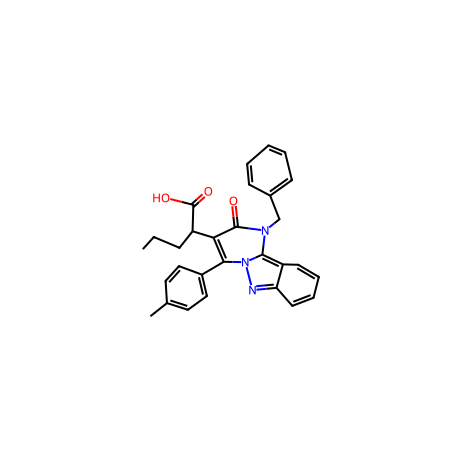 CCCC(C(=O)O)c1c(-c2ccc(C)cc2)n2nc3ccccc3c2n(Cc2ccccc2)c1=O